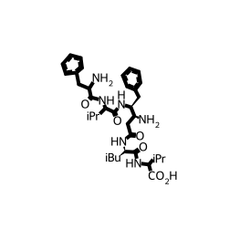 CC[C@H](C)[C@H](NC(=O)C[C@H](N)[C@H](Cc1ccccc1)NC(=O)C(NC(=O)C(N)Cc1ccccc1)C(C)C)C(=O)NC(C(=O)O)C(C)C